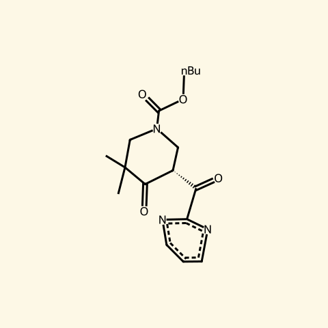 CCCCOC(=O)N1C[C@H](C(=O)c2ncccn2)C(=O)C(C)(C)C1